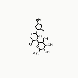 CCC[C@@H]1C[C@@H](C(=O)N[C@@H](C2OC(SC)C(O)C(O)C2O)[C@H](C)Cl)N(C)C1